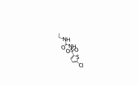 CCNC(=O)NS(=O)(=O)c1ccc(Cl)s1